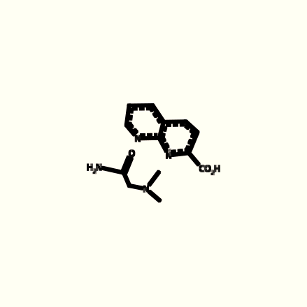 CN(C)CC(N)=O.O=C(O)c1ccc2cccnc2n1